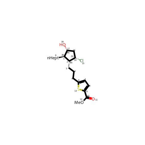 CCCCCCC[C@@H]1[C@@H](CCCc2ccc(C(=O)OC)s2)[C@@H](Cl)C[C@H]1O